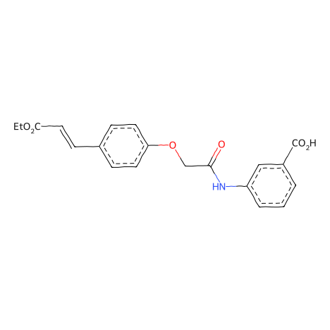 CCOC(=O)C=Cc1ccc(OCC(=O)Nc2cccc(C(=O)O)c2)cc1